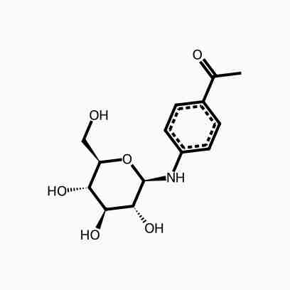 CC(=O)c1ccc(N[C@@H]2O[C@H](CO)[C@@H](O)[C@H](O)[C@H]2O)cc1